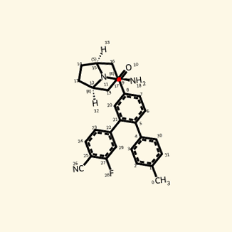 Cc1ccc(-c2ccc(C(=O)N3[C@@H]4CC[C@H]3C[C@@H](N)C4)cc2-c2ccc(C#N)c(F)c2)cc1